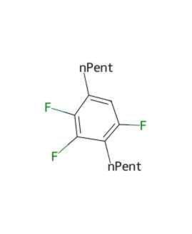 CCCCCc1cc(F)c(CCCCC)c(F)c1F